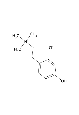 C[N+](C)(C)CCc1ccc(O)cc1.[Cl-]